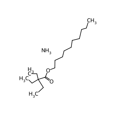 CCCCCCCCCCOC(=O)C(CC)(CC)CC.N